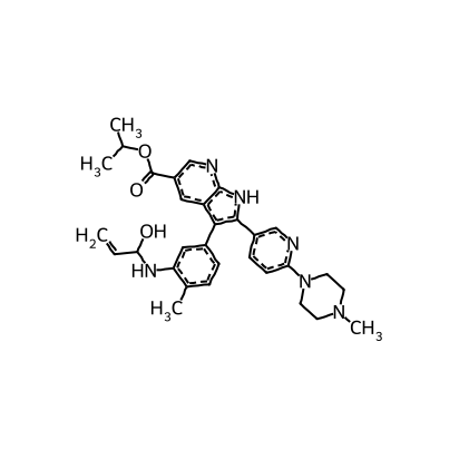 C=CC(O)Nc1cc(-c2c(-c3ccc(N4CCN(C)CC4)nc3)[nH]c3ncc(C(=O)OC(C)C)cc23)ccc1C